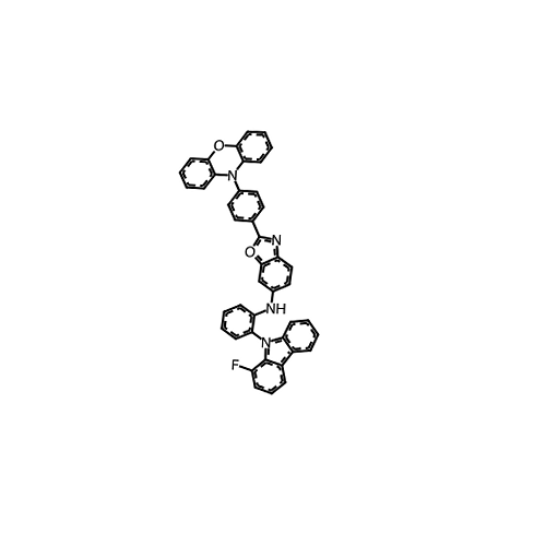 Fc1cccc2c3ccccc3n(-c3ccccc3Nc3ccc4nc(-c5ccc(N6c7ccccc7Oc7ccccc76)cc5)oc4c3)c12